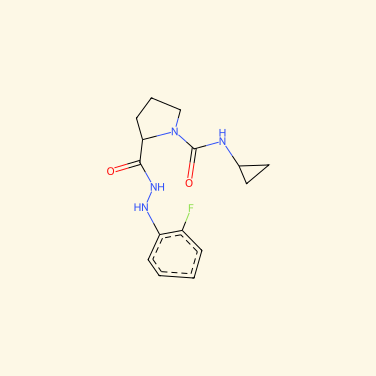 O=C(NNc1ccccc1F)C1CCCN1C(=O)NC1CC1